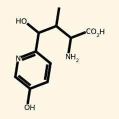 CC(C(N)C(=O)O)C(O)c1ccc(O)cn1